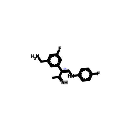 CC(=N)/C(=C\Nc1ccc(F)cc1)c1cc(F)cc(CN)c1